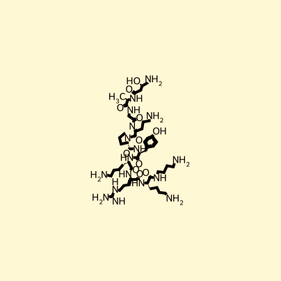 C[C@H](NC(=O)C[C@@H](O)CN)C(=O)NCC(=O)/N=C(\CCCN)C(=O)N1CCC[C@H]1C(=O)N[C@@H](Cc1ccc(O)cc1)C(=O)N[C@@H](CCCCN)C(=O)N/C(=C\CCNC(=N)N)C(=O)N[C@@H](CCCCN)C(=O)NCCCCN